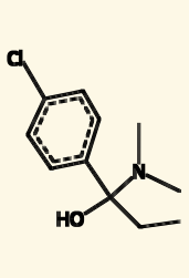 CCC(O)(c1ccc(Cl)cc1)N(C)C